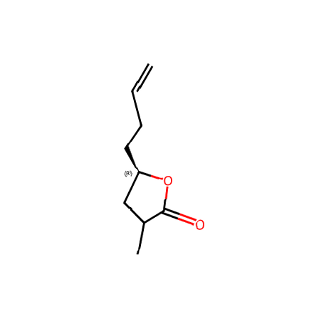 C=CCC[C@@H]1CC(C)C(=O)O1